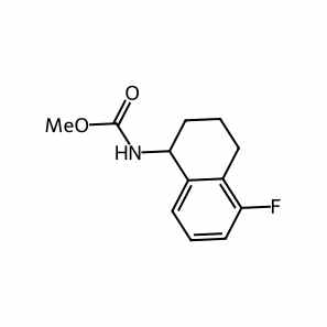 COC(=O)NC1CCCc2c(F)cccc21